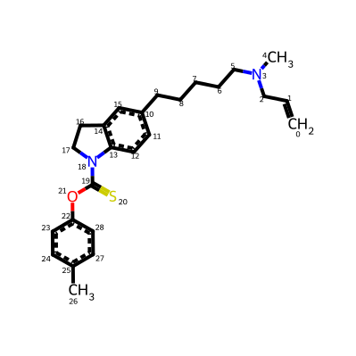 C=CCN(C)CCCCCc1ccc2c(c1)CCN2C(=S)Oc1ccc(C)cc1